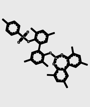 Cc1ccc(S(=O)(=O)Oc2c(C)cc(C)cc2-c2cc(C)cc(C)c2Op2oc3c(C)cc(C)cc3c3cc(C)cc(C)c3o2)cc1